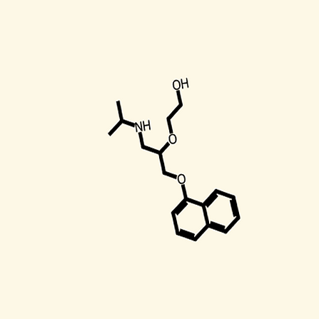 CC(C)NCC(COc1cccc2ccccc12)OCCO